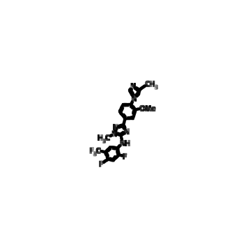 COc1cc(-c2nc(Nc3cc(C(F)(F)F)c(F)cc3F)n(C)n2)ccc1-n1cnc(C)c1